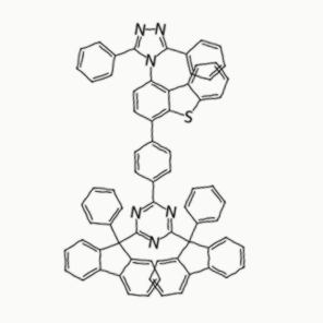 c1ccc(-c2nnc(-c3ccccc3)n2-c2ccc(-c3ccc(-c4nc(C5(c6ccccc6)c6ccccc6-c6ccccc65)nc(C5(c6ccccc6)c6ccccc6-c6ccccc65)n4)cc3)c3sc4ccccc4c23)cc1